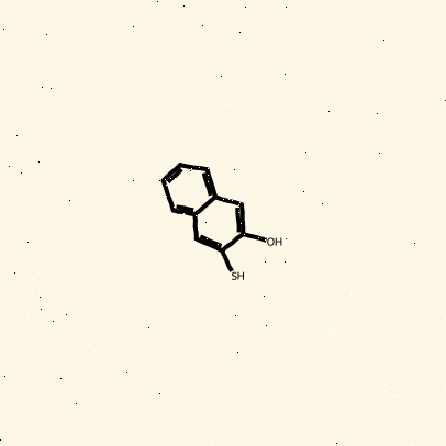 Oc1cc2ccccc2cc1S